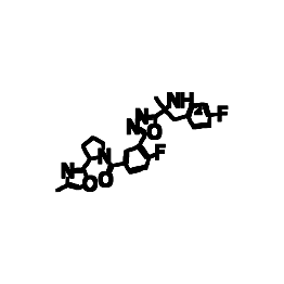 Cc1coc(C2CCCN2C(=O)c2ccc(F)c(-c3nnc(C(C)(N)Cc4ccc(F)cc4)o3)c2)n1